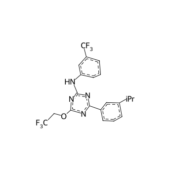 CC(C)c1cccc(-c2nc(Nc3cccc(C(F)(F)F)c3)nc(OCC(F)(F)F)n2)c1